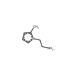 Cc1cccn1CCN